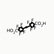 O=C(O)c1c(F)c(F)c(C#Cc2c(F)c(F)c(C(=O)O)c(F)c2F)c(F)c1F